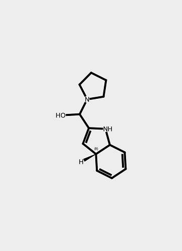 OC(C1=C[C@H]2C=CC=CC2N1)N1CCCC1